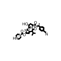 CC(C)C(C(=O)N1C[C@H](O)C[C@H]1C(=O)N[C@@H](C)c1ccc(C#N)cc1)c1cc(OC(=O)N2CCNCC2)no1